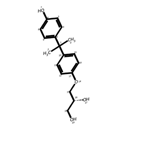 CC(C)(c1ccc(O)cc1)c1ccc(OC[C@H](O)CO)cc1